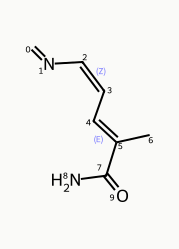 C=N/C=C\C=C(/C)C(N)=O